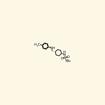 Cc1ccc(NC[C@H]2CC[C@H](NS(=O)(=O)C(C)(C)C)CC2)cc1